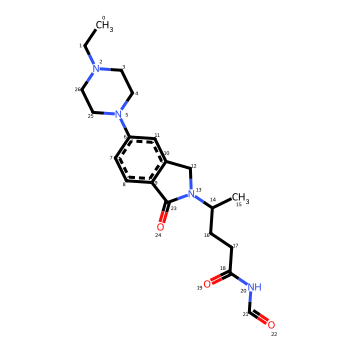 CCN1CCN(c2ccc3c(c2)CN(C(C)CCC(=O)NC=O)C3=O)CC1